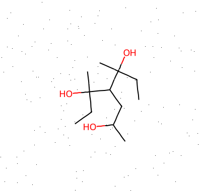 CCC(C)(O)C(CC(C)O)C(C)(O)CC